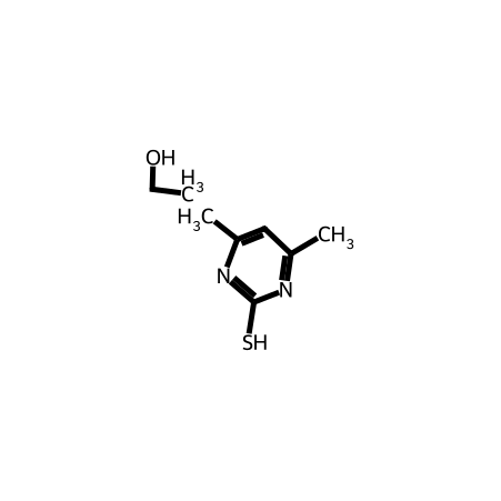 CCO.Cc1cc(C)nc(S)n1